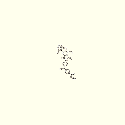 CCC(c1ccc([C@H](C)Nc2nc(N)cc(N3C(=O)OCC3(C)C)n2)cc1)N1CCN(C(=O)OC(C)(C)C)CC1